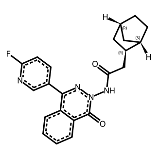 O=C(C[C@H]1C[C@@H]2CC[C@H]1C2)Nn1nc(-c2ccc(F)nc2)c2ccccc2c1=O